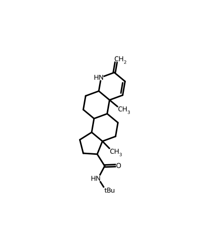 C=C1C=CC2(C)C(CCC3C2CCC2(C)C(C(=O)NC(C)(C)C)CCC32)N1